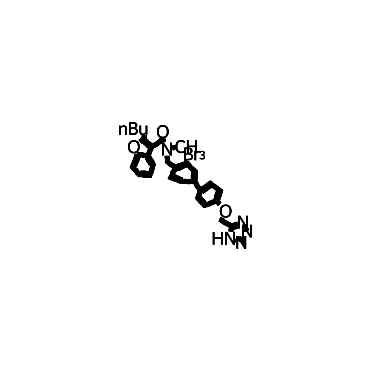 CCCCc1oc2ccccc2c1C(=O)N(C)Cc1ccc(-c2ccc(OCc3nnn[nH]3)cc2)cc1Br